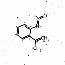 C=C(C)c1ccccc1N=S=O